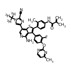 [2H]C([2H])([2H])n1cc(-c2cnc(N)c3c(-c4ccc(Oc5nccc(C)n5)c(F)c4)c(-c4ccc(NC(=O)C(=C)C)cc4C)sc23)nc1C#N